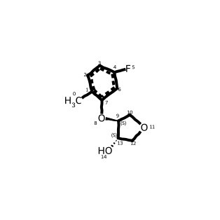 Cc1ccc(F)cc1O[C@H]1COC[C@@H]1O